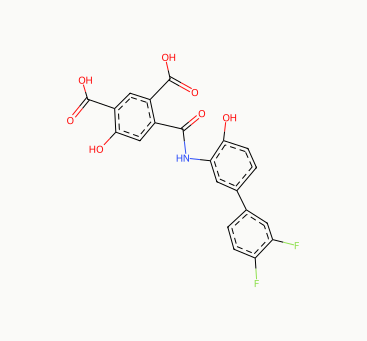 O=C(O)c1cc(C(=O)O)c(C(=O)Nc2cc(-c3ccc(F)c(F)c3)ccc2O)cc1O